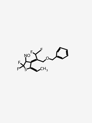 C/C=C1/SC(F)(F)C(N=O)/C1=C(/COCc1ccccc1)C(F)F